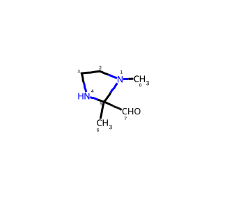 CN1CCNC1(C)C=O